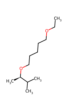 CCOCCCCCO[C@H](C)C(C)C